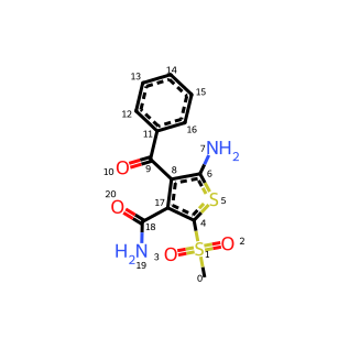 CS(=O)(=O)c1sc(N)c(C(=O)c2ccccc2)c1C(N)=O